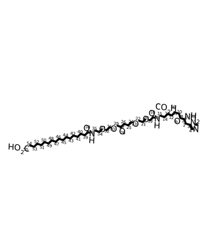 N[C@@H](Cc1cnc[nH]1)C(=O)C[C@@H](CCCCNC(=O)COCCOCCCC(=O)COCCOCCNC(=O)CCCCCCCCCCCCCCCCC(=O)O)C(=O)O